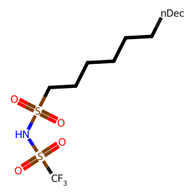 CCCCCCCCCCCCCCCCS(=O)(=O)NS(=O)(=O)C(F)(F)F